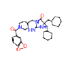 N=C1NC(CC2CCCCC2)(CC2CCCCC2)C(=O)N1CC1CCN(C(=O)c2ccc3c(c2)OCO3)CC1